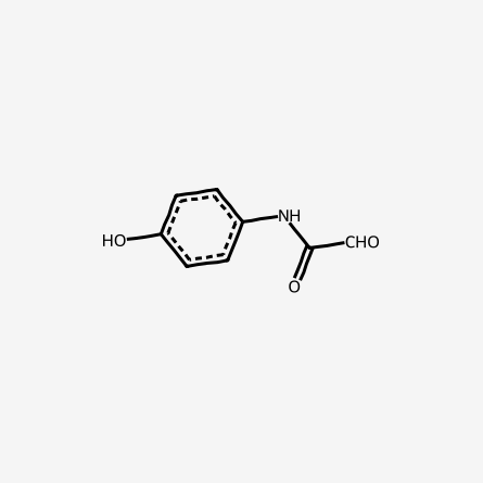 O=CC(=O)Nc1ccc(O)cc1